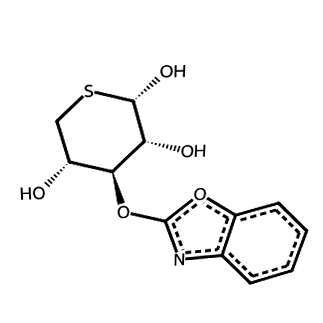 O[C@@H]1[C@@H](Oc2nc3ccccc3o2)[C@H](O)CS[C@@H]1O